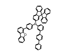 c1ccc(-c2ccc(-c3cccc(N(c4ccc(-c5cccc6c5oc5ccccc56)cc4)c4ccc5c(c4)C4(c6ccccc6-c6ccccc64)c4ccccc4-5)c3)cc2)cc1